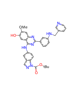 COc1cc2nc(-c3cccc(NCc4cccnc4)c3)nc(Nc3ccc4c(cnn4C(=O)OC(C)(C)C)c3)c2cc1O